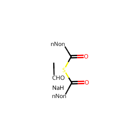 CC=O.CCCCCCCCCC(=O)SC(=O)CCCCCCCCC.[NaH]